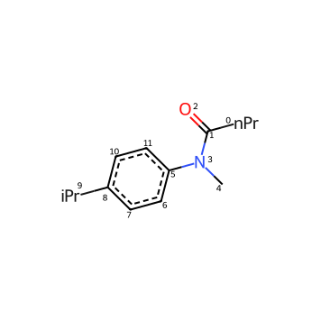 CCCC(=O)N(C)c1ccc(C(C)C)cc1